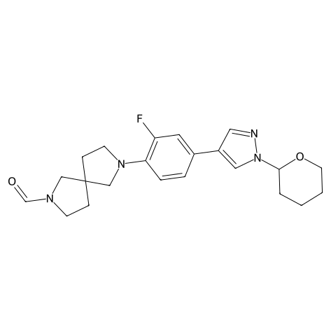 O=CN1CCC2(CCN(c3ccc(-c4cnn(C5CCCCO5)c4)cc3F)C2)C1